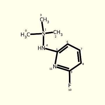 CS(C)(C)Nc1cccc(F)n1